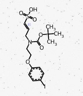 CC(C)(C)OC(=O)N(C/C=C/S(=O)(=O)O)CCOc1ccc(I)cc1